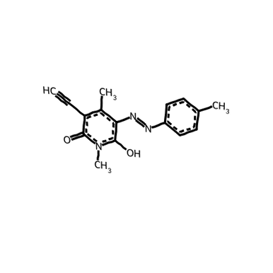 C#Cc1c(C)c(/N=N/c2ccc(C)cc2)c(O)n(C)c1=O